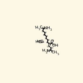 CC(N)CCCCCCCN(CCC(C)N)C(=O)O.Cl.Cl